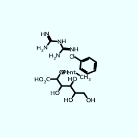 CCCCCC.Clc1ccccc1.N=C(N)NC(=N)N.O=C(O)C(O)C(O)C(O)C(O)CO